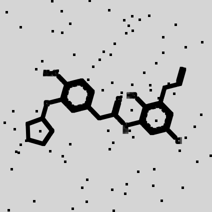 C=CCc1cc(Cl)cc(NC(=O)Cc2ccc(OC)c(OC3CCCC3)c2)c1O